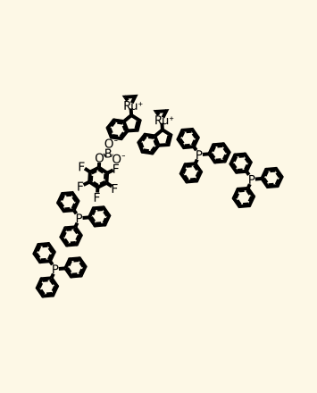 C1=C[CH]([Ru+]2[CH2][CH2]2)c2ccccc21.C1=C[CH]([Ru+]2[CH2][CH2]2)c2ccccc21.[O-]B([O-])Oc1c(F)c(F)c(F)c(F)c1F.c1ccc(P(c2ccccc2)c2ccccc2)cc1.c1ccc(P(c2ccccc2)c2ccccc2)cc1.c1ccc(P(c2ccccc2)c2ccccc2)cc1.c1ccc(P(c2ccccc2)c2ccccc2)cc1